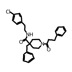 O=C(CCc1ccccc1)N1CCC(Cc2ccccc2)(C(=O)NCCc2ccc(Cl)cc2)CC1